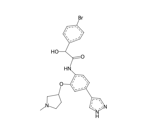 CN1CCC(Oc2cc(-c3cn[nH]c3)ccc2NC(=O)C(O)c2ccc(Br)cc2)C1